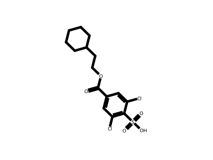 O=C(OCCC1CCCCC1)c1cc(Cl)c(S(=O)(=O)O)c(Cl)c1